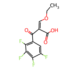 CCOC=C(C(=O)O)C(=O)c1cc(F)c(F)c(F)c1F